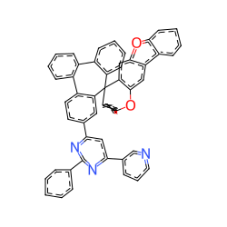 c1ccc(-c2nc(-c3cccnc3)cc(-c3ccc4c(c3)C3(c5ccccc5Oc5cc6c(cc53)oc3ccccc36)c3ccccc3-c3ccccc3-4)n2)cc1